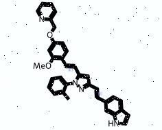 COc1cc(OCc2ccccn2)ccc1/C=C/c1cc(/C=C/c2ccc3cc[nH]c3c2)nn1-c1ccccc1C